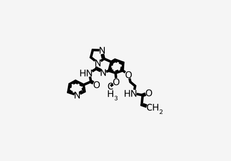 C=CC(=O)NCCOc1ccc2c(c1OC)N=C(NC(=O)c1cccnc1)N1CCN=C21